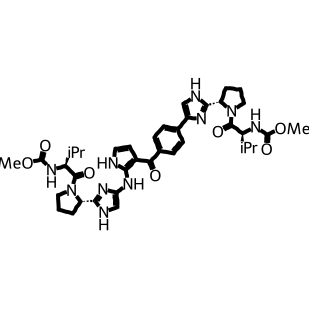 COC(=O)N[C@H](C(=O)N1CCC[C@H]1c1nc(Nc2[nH]ccc2C(=O)c2ccc(-c3c[nH]c([C@@H]4CCCN4C(=O)[C@@H](NC(=O)OC)C(C)C)n3)cc2)c[nH]1)C(C)C